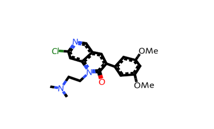 COc1cc(OC)cc(-c2cc3cnc(Cl)cc3n(CCN(C)C)c2=O)c1